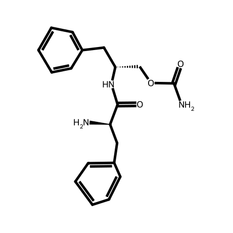 NC(=O)OC[C@@H](Cc1ccccc1)NC(=O)[C@H](N)Cc1ccccc1